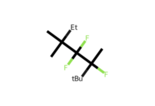 CCC(C)(C)C(F)(F)C(C)(F)C(C)(C)C